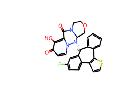 O=C1c2c(O)c(=O)ccn2N([C@H]2c3cc(F)ccc3-c3ccsc3-c3ccccc32)C2COCCN12